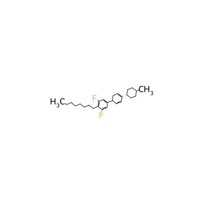 CCCCCCCCc1c(F)cc(C2C=CC([C@H]3CC[C@H](C)CC3)=CC2)cc1F